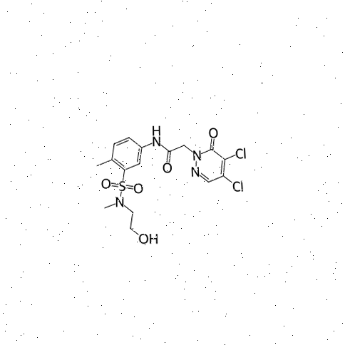 Cc1ccc(NC(=O)Cn2ncc(Cl)c(Cl)c2=O)cc1S(=O)(=O)N(C)CCO